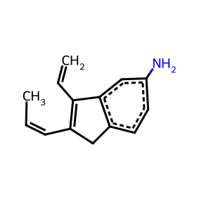 C=CC1=C(/C=C\C)Cc2ccc(N)cc21